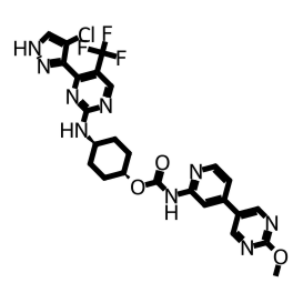 COc1ncc(-c2ccnc(NC(=O)O[C@H]3CC[C@H](Nc4ncc(C(F)(F)F)c(-c5n[nH]cc5Cl)n4)CC3)c2)cn1